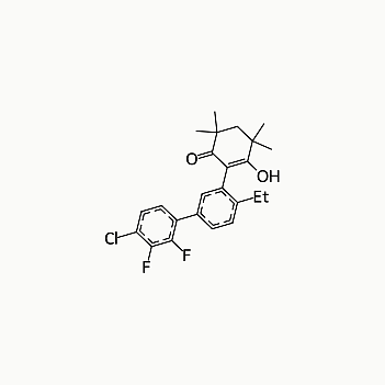 CCc1ccc(-c2ccc(Cl)c(F)c2F)cc1C1=C(O)C(C)(C)CC(C)(C)C1=O